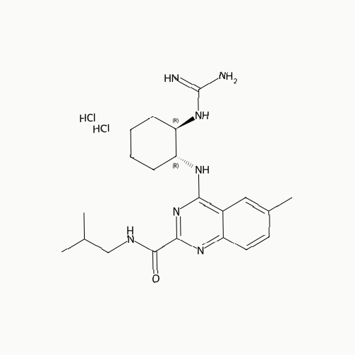 Cc1ccc2nc(C(=O)NCC(C)C)nc(N[C@@H]3CCCC[C@H]3NC(=N)N)c2c1.Cl.Cl